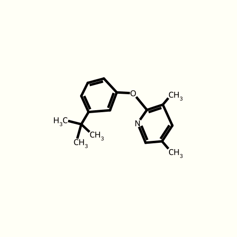 Cc1cnc(Oc2cccc(C(C)(C)C)c2)c(C)c1